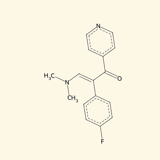 CN(C)C=C(C(=O)c1ccncc1)c1ccc(F)cc1